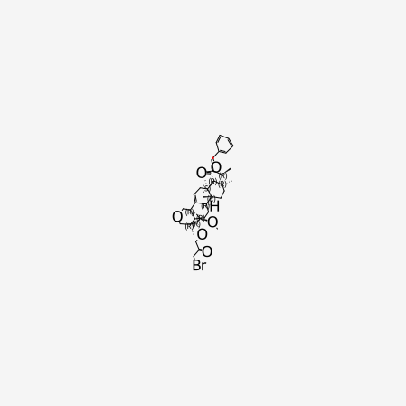 CO[C@@H]1C[C@@]23COC[C@@](C)(C2CC[C@H]2C3=CC[C@@]3(C)[C@H](C(=O)OCc4ccccc4)[C@@](C)([C@H](C)C(C)C)CC[C@]23C)[C@H]1OCC(=O)CBr